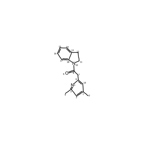 Cc1cc(C)nc(CC(=O)N2CCc3ccccc32)c1